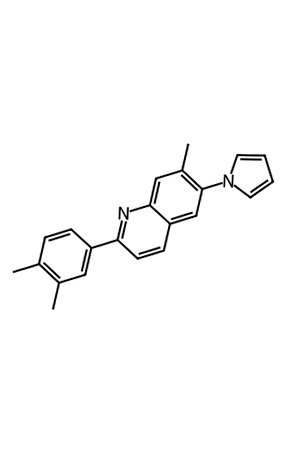 Cc1ccc(-c2ccc3cc(-n4cccc4)c(C)cc3n2)cc1C